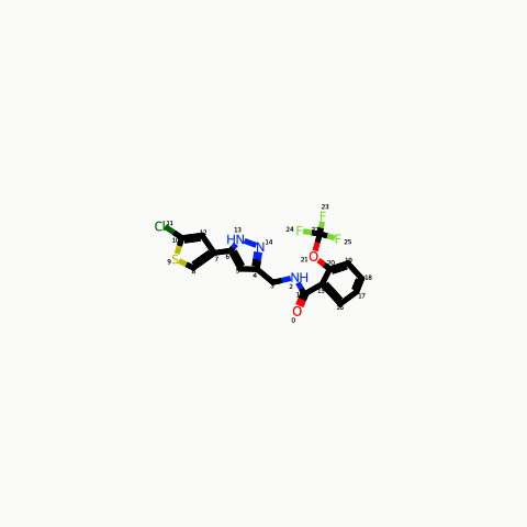 O=C(NCc1cc(-c2csc(Cl)c2)[nH]n1)c1ccccc1OC(F)(F)F